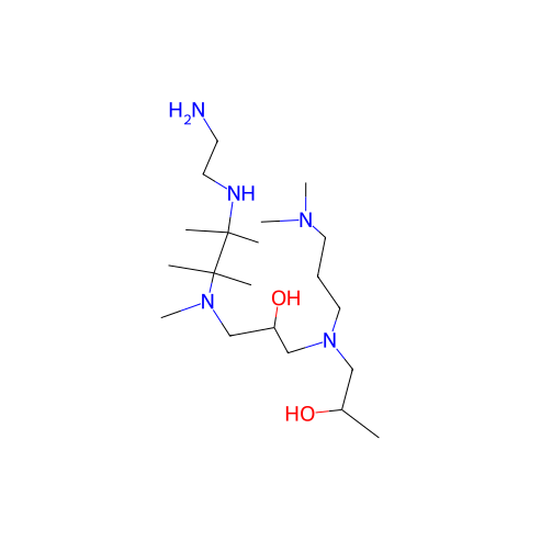 CC(O)CN(CCCN(C)C)CC(O)CN(C)C(C)(C)C(C)(C)NCCN